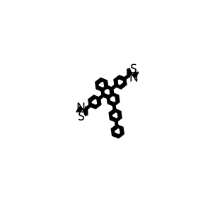 c1ccc(-c2ccc(-c3ccc4c(-c5ccc(-c6cscn6)cc5)c5ccccc5c(-c5ccc(-c6cscn6)cc5)c4c3)cc2)cc1